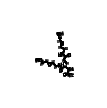 CCC(=O)N[C@@H](CCC(=O)NCCOCCO)C(=O)NCCOCCO